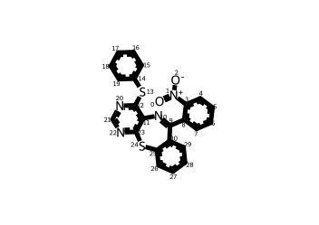 O=[N+]([O-])c1ccccc1C1=Nc2c(Sc3ccccc3)ncnc2Sc2ccccc21